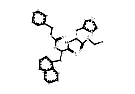 CCC(C)[CH]NC(=O)[C@@H](Cc1c[nH]cn1)NC(=O)[C@@H](Cc1cccc2ccccc12)NC(=O)OCc1ccccc1